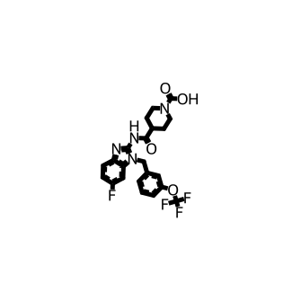 O=C(Nc1nc2ccc(F)cc2n1Cc1cccc(OC(F)(F)F)c1)C1CCN(C(=O)O)CC1